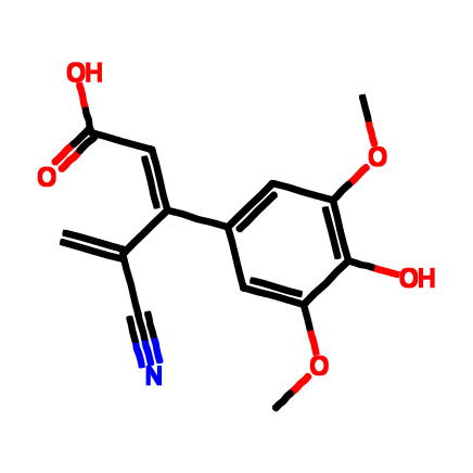 C=C(C#N)C(=CC(=O)O)c1cc(OC)c(O)c(OC)c1